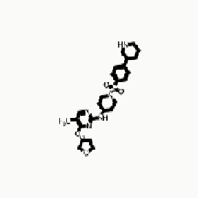 O=S(=O)(c1ccc(C2CCCNC2)cc1)N1CCC(Nc2ncc(C(F)(F)F)c(O[C@H]3CCOC3)n2)CC1